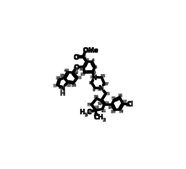 COC(=O)c1ccc(N2CCN(CC3=C(c4ccc(Cl)cc4)CC(C)(C)CC3)CC2)cc1Oc1ccc2[nH]ccc2c1